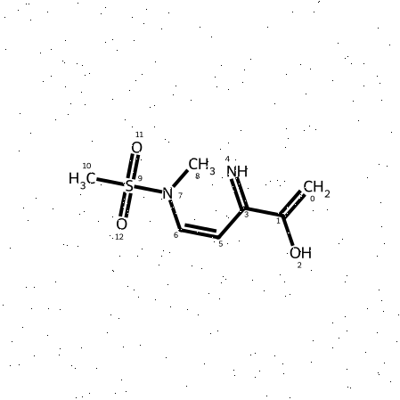 C=C(O)C(=N)/C=C\N(C)S(C)(=O)=O